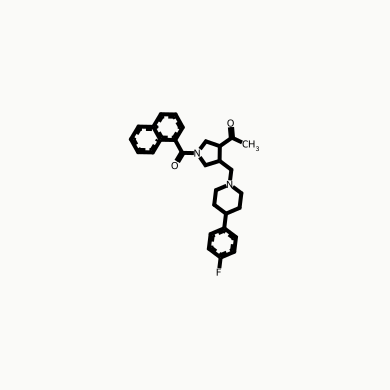 CC(=O)C1CN(C(=O)c2cccc3ccccc23)CC1CN1CCC(c2ccc(F)cc2)CC1